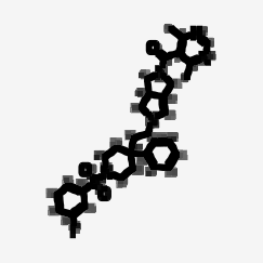 Cc1ncnc(C)c1C(=O)N1CC2=CN(CCC3(c4ccccc4)CCN(S(=O)(=O)c4cccc(F)c4)CC3)CC2C1